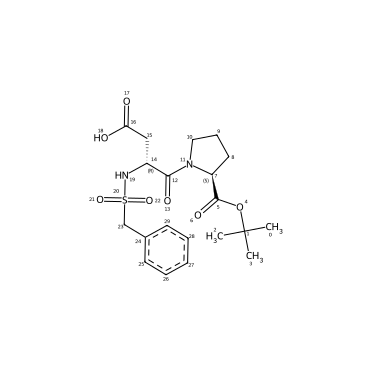 CC(C)(C)OC(=O)[C@@H]1CCCN1C(=O)[C@@H](CC(=O)O)NS(=O)(=O)Cc1ccccc1